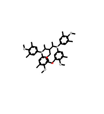 CCCC(C(C)P(c1cc(C)c(OC)c(C)c1)c1cc(C)c(OC)c(C)c1)C(C)P(c1cc(C)c(OC)c(C)c1)c1cc(C)c(OC)c(C)c1